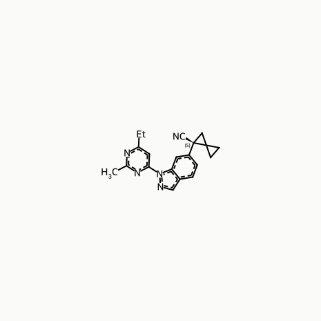 CCc1cc(-n2ncc3ccc([C@]4(C#N)CC45CC5)cc32)nc(C)n1